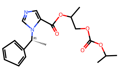 CC(C)OC(=O)OCC(C)OC(=O)c1cncn1[C@H](C)c1ccccc1